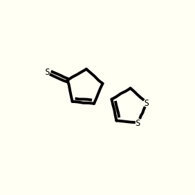 C1=CSSC1.S=C1C=CCC1